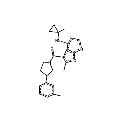 Cc1cccc(C2CCN(C(=O)c3c(C)oc4ncnc(NC5(C)CC5)c34)C2)c1